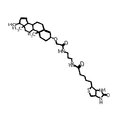 CC12CC[C@H](OCC(=O)NCCCNC(=O)CCCCC3SCC4NC(=O)NC43)C=C1CCC1C2CCC2(C)C(O)CCC12